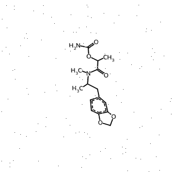 CC(OC(N)=O)C(=O)N(C)C(C)Cc1ccc2c(c1)OCO2